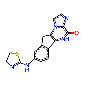 O=c1[nH]c2c(n3ccnc13)Cc1cc(NC3=NCCS3)ccc1-2